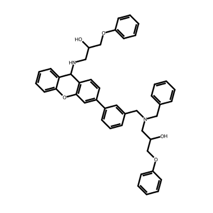 OC(CNC1c2ccccc2Oc2cc(-c3cccc(CN(Cc4ccccc4)CC(O)COc4ccccc4)c3)ccc21)COc1ccccc1